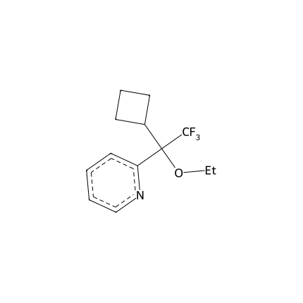 CCOC(c1ccccn1)(C1CCC1)C(F)(F)F